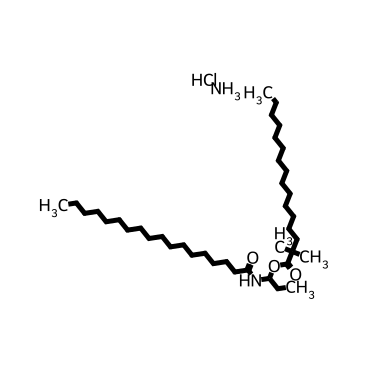 CCCCCCCCCCCCCCCCCC(=O)NC(CC)OC(=O)C(C)(C)CCCCCCCCCCCCCC.Cl.N